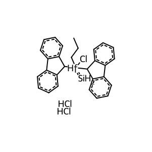 CC[CH2][Hf](=[SiH2])([Cl])([CH]1c2ccccc2-c2ccccc21)[CH]1c2ccccc2-c2ccccc21.Cl.Cl